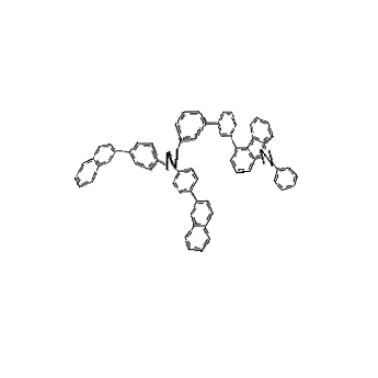 c1ccc(-n2c3ccccc3c3c(-c4cccc(-c5cccc(N(c6ccc(-c7ccc8ccccc8c7)cc6)c6ccc(-c7ccc8ccccc8c7)cc6)c5)c4)cccc32)cc1